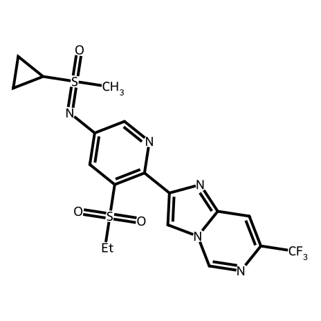 CCS(=O)(=O)c1cc(N=S(C)(=O)C2CC2)cnc1-c1cn2cnc(C(F)(F)F)cc2n1